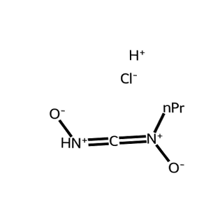 CCC[N+]([O-])=C=[NH+][O-].[Cl-].[H+]